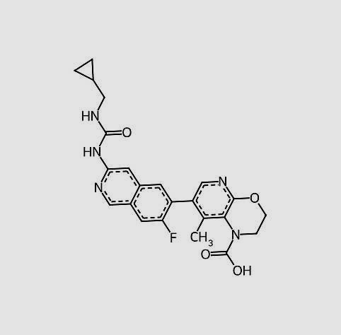 Cc1c(-c2cc3cc(NC(=O)NCC4CC4)ncc3cc2F)cnc2c1N(C(=O)O)CCO2